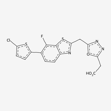 O=C(O)Cc1nnc(Cc2nc3ccc(-c4ccc(Cl)s4)c(F)c3s2)o1